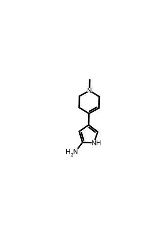 CN1CC=C(c2c[nH]c(N)c2)CC1